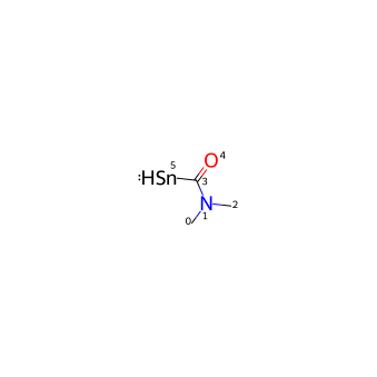 CN(C)[C](=O)[SnH]